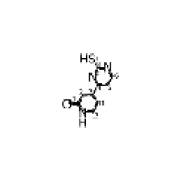 O=c1cc(-c2ccnc(S)n2)cc[nH]1